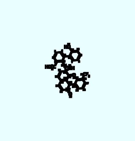 O=C(O)c1cccc(-c2ccccc2O)c1N1NC12C=CC1=C(C2=O)C(c2cccc(C(F)(F)F)c2)[N+](=O)C=C1